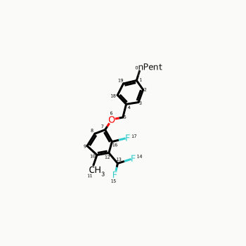 CCCCCc1ccc(COc2ccc(C)c(C(F)F)c2F)cc1